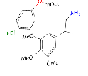 CCCCCCCCOc1ccccc1.COc1cc(C(C)CN)cc(OC)c1OC.Cl